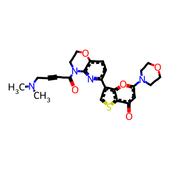 CN(C)CC#CC(=O)N1CCOc2ccc(-c3csc4c(=O)cc(N5CCOCC5)oc34)nc21